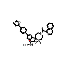 O=C(CC1(c2ccc(-c3ccc(-c4cnco4)cc3)s2)CCN(C(=O)c2nccc3ccccc23)CCS1(=O)=O)NO